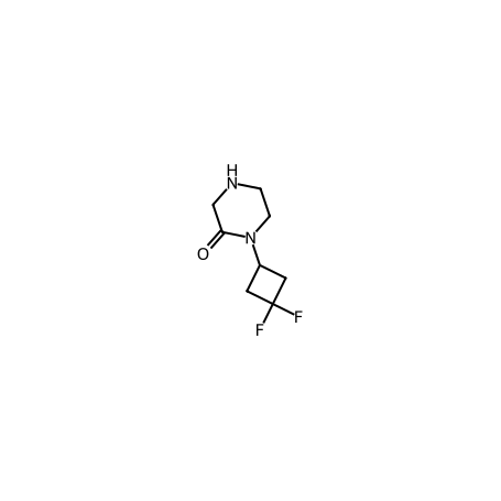 O=C1CNCCN1C1CC(F)(F)C1